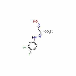 CCOC(=O)C(/C=N/O)=N/Nc1ccc(F)c(F)c1